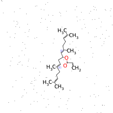 C=CC(=O)OC(/C=C(\C)CCC=C(C)C)C/C=C(\C)CCC=C(C)C